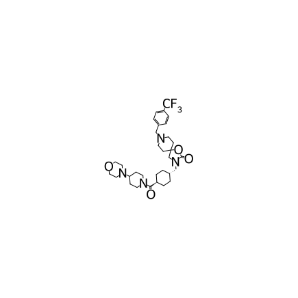 O=C1OC2(CCN(Cc3ccc(C(F)(F)F)cc3)CC2)CN1C[C@H]1CC[C@H](C(=O)N2CCC(N3CCOCC3)CC2)CC1